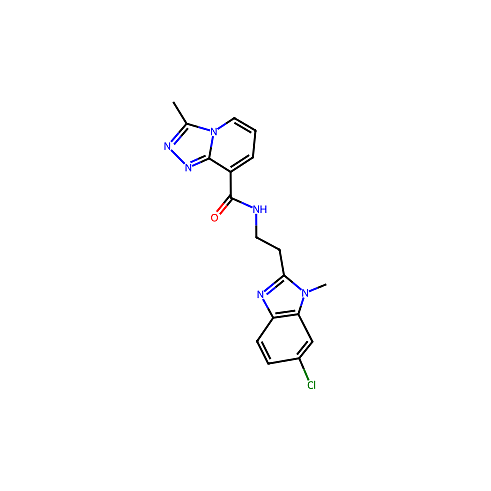 Cc1nnc2c(C(=O)NCCc3nc4ccc(Cl)cc4n3C)cccn12